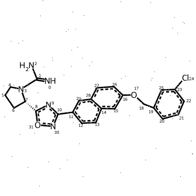 N=C(N)N1CCC[C@H]1c1nc(-c2ccc3cc(OCc4cccc(Cl)c4)ccc3c2)no1